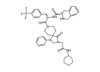 O=C(CN1CN(c2ccccc2)C2(CCN(C(=O)[C@@H](Cc3ccc(C(F)(F)F)cc3)NC(=O)[C@H]3Cc4ccccc4CN3)CC2)C1=O)NC1CCCCC1